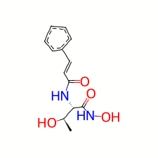 C[C@@H](O)[C@H](NC(=O)C=Cc1ccccc1)C(=O)NO